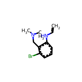 C=CNc1cccc(Br)c1CN(C)C